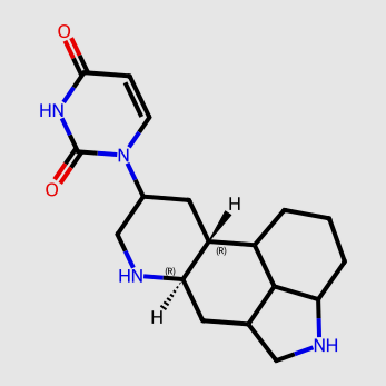 O=c1ccn(C2CN[C@@H]3CC4CNC5CCCC(C45)[C@H]3C2)c(=O)[nH]1